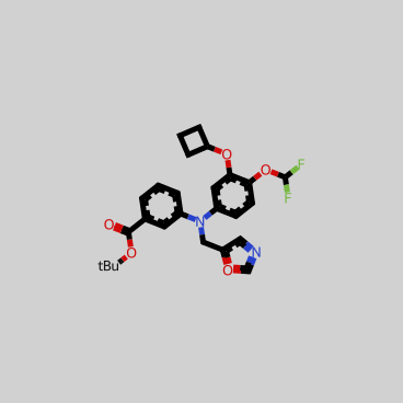 CC(C)(C)OC(=O)c1cccc(N(Cc2cnco2)c2ccc(OC(F)F)c(OC3CCC3)c2)c1